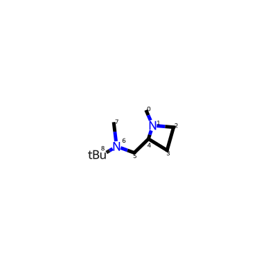 CN1CCC1CN(C)C(C)(C)C